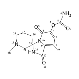 Cc1cc(OC(N)=O)c(=O)n2c1C(=O)N[C@]21CCCN(C)C1